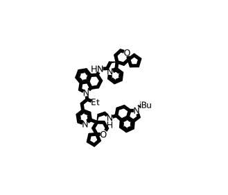 CCC(C)N1Cc2cccc3c2C1CCC3NCC[C@@]1(c2cc(CC(CC)N3Cc4cccc5c4C3CCC5NCC[C@@]3(c4ccccn4)CCOC4(CCCC4)C3)ccn2)CCOC2(CCCC2)C1